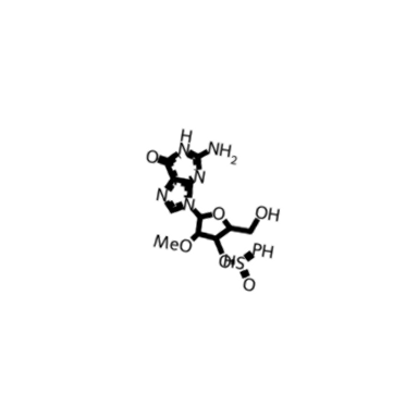 COC1C(O[SH](=O)=P)C(CO)OC1n1cnc2c(=O)[nH]c(N)nc21